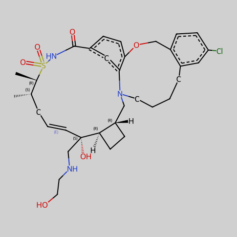 C[C@@H]1[C@@H](C)C/C=C/[C@](O)(CNCCO)[C@@H]2CC[C@H]2CN2CCCCc3cc(Cl)ccc3COc3ccc(cc32)C(=O)NS1(=O)=O